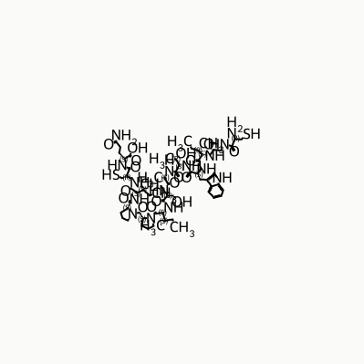 CC[C@H](C)[C@H](NC(=O)CNC(=O)[C@@H](N)CS)C(=O)N[C@@H](Cc1c[nH]c2ccccc12)C(=O)N[C@H](C(=O)N[C@@H](C)C(=O)N[C@@H](CO)C(=O)N[C@H](C(=O)N1CCC[C@H]1C(=O)N1CCC[C@H]1C(=O)N[C@H](C(=O)N[C@@H](CS)C(=O)N[C@@H](CCC(N)=O)C(=O)O)[C@@H](C)CC)[C@@H](C)CC)[C@@H](C)O